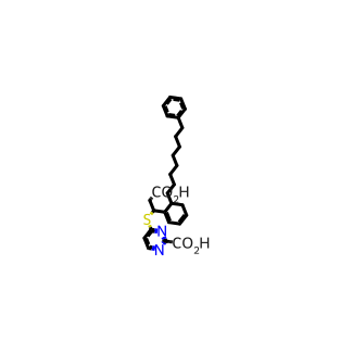 O=C(O)CC(Sc1ccnc(C(=O)O)n1)C1=CC=CCC1CCCCCCCCc1ccccc1